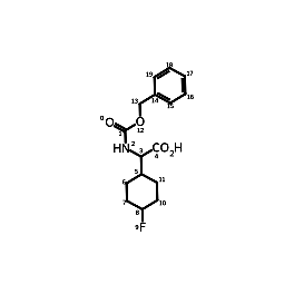 O=C(NC(C(=O)O)C1CCC(F)CC1)OCc1ccccc1